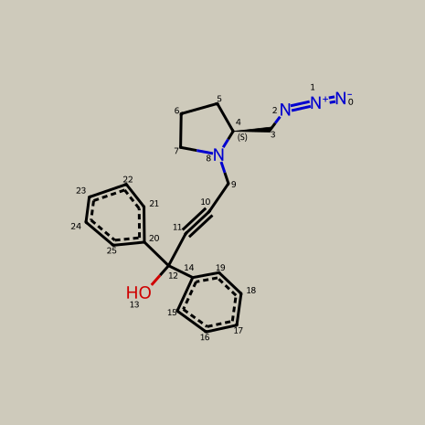 [N-]=[N+]=NC[C@@H]1CCCN1CC#CC(O)(c1ccccc1)c1ccccc1